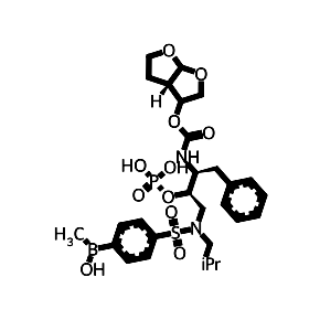 CB(O)c1ccc(S(=O)(=O)N(CC(C)C)C[C@@H](OP(=O)(O)O)[C@H](Cc2ccccc2)NC(=O)OC2COC3OCC[C@@H]23)cc1